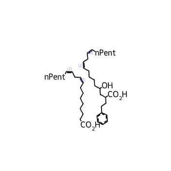 CCCCC/C=C\C/C=C\CCCCC(O)CC(CCc1ccccc1)C(=O)O.CCCCC/C=C\C/C=C\CCCCCCCC(=O)O